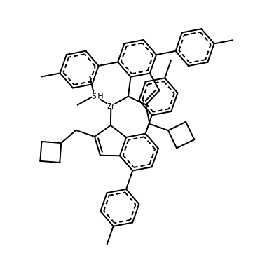 Cc1ccc(-c2ccc(-c3ccc(C)cc3)c3c2C=C(CC2CCC2)[CH]3[Zr]([CH]2C(CC3CCC3)=Cc3c(-c4ccc(C)cc4)ccc(-c4ccc(C)cc4)c32)[SiH](C)C)cc1